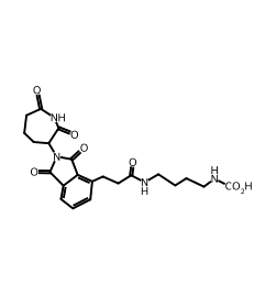 O=C(O)NCCCCNC(=O)CCc1cccc2c1C(=O)N(C1CCCC(=O)NC1=O)C2=O